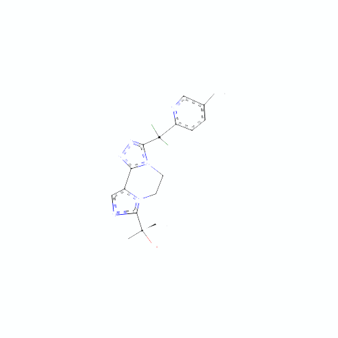 C[C@H]1Cn2c(nnc2C(F)(F)c2ccc(C(F)(F)F)cn2)-c2cnc([C@@](C)(O)C(F)(F)F)n21